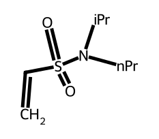 C=CS(=O)(=O)N(CCC)C(C)C